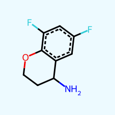 NC1CCOc2c(F)cc(F)cc21